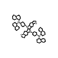 c1ccc2c(N(c3ccc(-n4c5cc6ccsc6cc5c5c4c4cc6sccc6cc4n5-c4ccc(N(c5cccc6ccccc56)c5cccc6ccccc56)cc4)cc3)c3cccc4ccccc34)cccc2c1